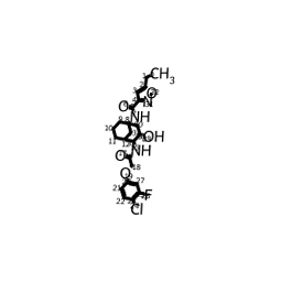 CCc1cc(C(=O)NC23CCCC(C2)C(NC(=O)COc2ccc(Cl)c(F)c2)[C@@H](O)C3)no1